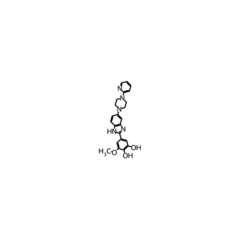 COc1cc(-c2nc3cc(N4CCN(c5ccccn5)CC4)ccc3[nH]2)cc(O)c1O